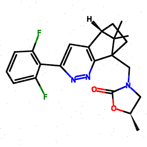 C[C@H]1CN(CC23CC[C@@H](c4cc(-c5c(F)cccc5F)nnc42)C3(C)C)C(=O)O1